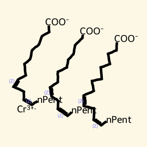 CCCCC/C=C\C/C=C\CCCCCCCC(=O)[O-].CCCCC/C=C\C/C=C\CCCCCCCC(=O)[O-].CCCCC/C=C\C/C=C\CCCCCCCC(=O)[O-].[Cr+3]